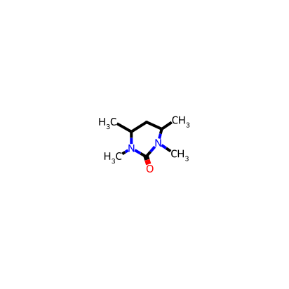 CC1CC(C)N(C)C(=O)N1C